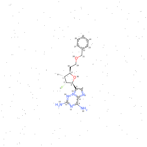 C[C@H]1[C@@H](F)[C@H](c2cnc3c(N)nc(N)nn23)O[C@@H]1CCOCc1ccccc1